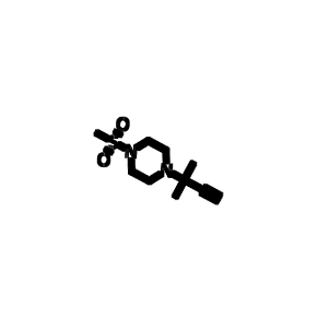 C#CC(C)(C)N1CCN(S(C)(=O)=O)CC1